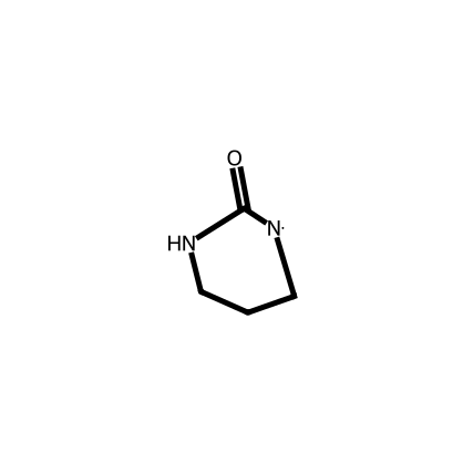 O=C1[N]CCCN1